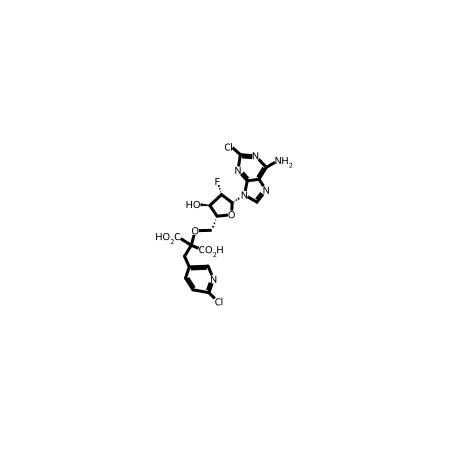 Nc1nc(Cl)nc2c1ncn2[C@@H]1O[C@H](COC(Cc2ccc(Cl)nc2)(C(=O)O)C(=O)O)[C@@H](O)[C@@H]1F